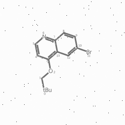 CC(C)(C)COc1ccnc2ccc(Br)cc12